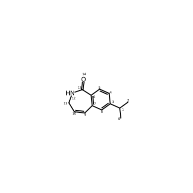 CC(C)c1ccc2c(c1)C=CCNC2=O